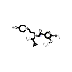 C=C(C1CC1)N(/C=C(\CC)c1cnc(N)c(OC(F)(F)F)c1)CCCN1CCC(O)CC1